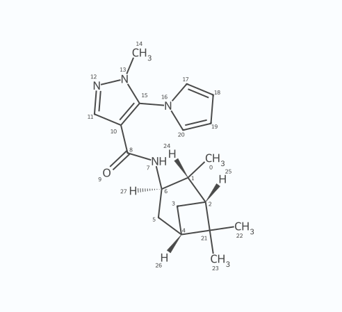 C[C@@H]1[C@H]2C[C@@H](C[C@H]1NC(=O)c1cnn(C)c1-n1cccc1)C2(C)C